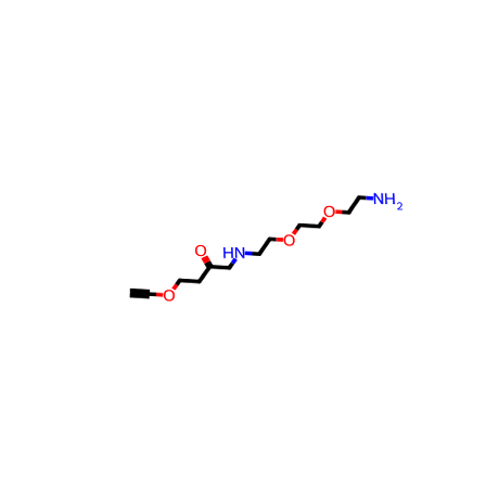 C#COCCC(=O)CNCCOCCOCCN